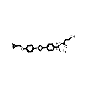 C[C@H](NC(=O)CCO)c1ccc(C2CN(c3ccc(OCC4CC4)cc3)C2)cc1